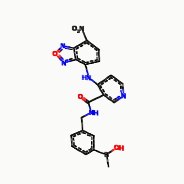 CB(O)c1cccc(CNC(=O)c2cnccc2Nc2ccc([N+](=O)[O-])c3nonc23)c1